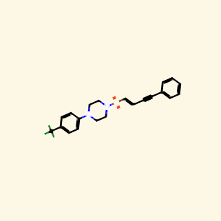 O=S(=O)(C=CC#Cc1ccccc1)N1CCN(c2ccc(C(F)(F)F)cc2)CC1